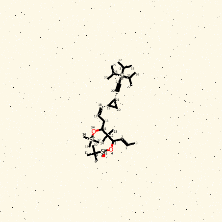 C/C=C/C(O[Si](C)(C)C(C)(C)C)C(C)(C)C(C/C=C\[C@H]1C[C@H]1C#C[Si](C(C)C)(C(C)C)C(C)C)O[Si](C)(C)C